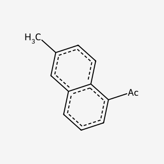 CC(=O)c1cccc2cc(C)ccc12